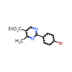 CCOC(=O)c1cnc(-c2ccc(Br)cc2)nc1C